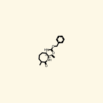 C=C[C@H]1NC(=O)C(C)CCC[C@@H]1NC(=O)OCc1ccccc1